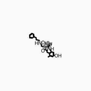 Cc1cc(O)cc(C)c1CC(NC(=O)OC(C)(C)C)C(=O)NCC(=O)NCCCc1ccccc1